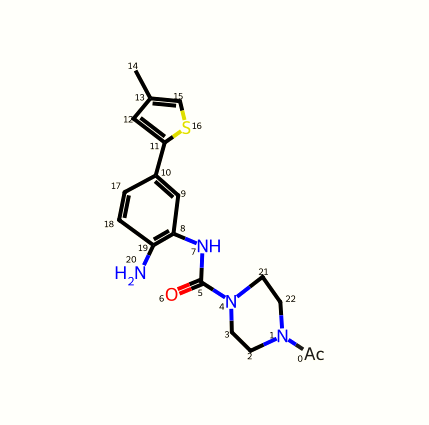 CC(=O)N1CCN(C(=O)Nc2cc(-c3cc(C)cs3)ccc2N)CC1